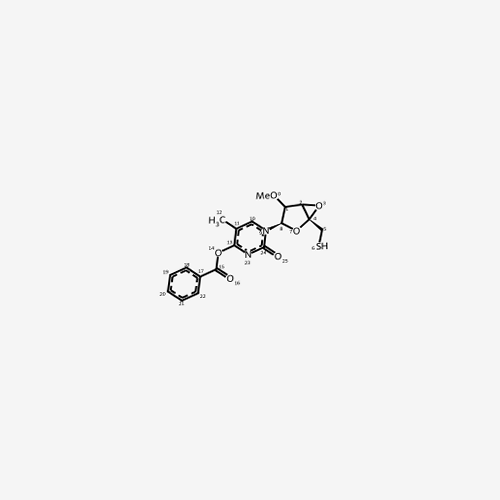 COC1C2O[C@]2(CS)O[C@H]1n1cc(C)c(OC(=O)c2ccccc2)nc1=O